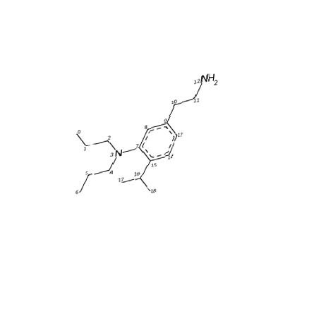 CCCN(CCC)c1cc(CCN)ccc1C(C)C